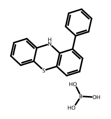 OB(O)O.c1ccc(-c2cccc3c2Nc2ccccc2S3)cc1